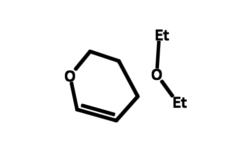 C1=COCCC1.CCOCC